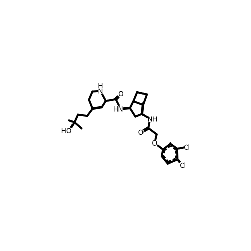 CC(C)(O)CCC1CCNC(C(=O)NC2CC(NC(=O)COc3ccc(Cl)c(Cl)c3)C3CCC23)C1